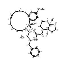 COc1ccc2c(c1)COC/C=C\CCCCN(C[C@@H](O)[C@H](Cc1ccccc1)NC(=O)O[C@H]1CCO[C@H]3OCC[C@H]31)S2(=O)=O